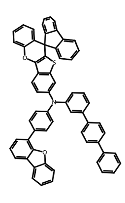 c1ccc(-c2ccc(-c3cccc(N(c4ccc(-c5cccc6c5oc5ccccc56)cc4)c4ccc5c6c(sc5c4)C4(c5ccccc5O6)c5ccccc5-c5ccccc54)c3)cc2)cc1